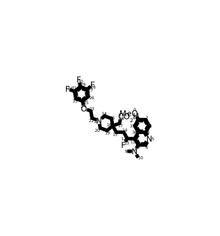 COc1ccc2ncc(N(C)C)c(C(F)CCC3(CC(=O)O)CCN(CCOc4cc(F)c(F)c(F)c4)CC3)c2c1